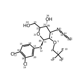 [N-]=[N+]=NC1C(OCC(F)(F)F)[C@@H](Sc2ccc(Cl)c(Cl)c2)OC(CO)[C@@H]1O